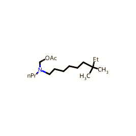 CCCN(CCCCCCC(C)(C)CC)COC(C)=O